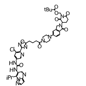 CC(C)c1c(NC(=O)Nc2cnc(-c3noc(CCCC(=O)N4CCN(c5ccc6c(c5)CN(C5CCC(=O)N(COC(=O)C(C)(C)C)C5=O)C6=O)CC4)n3)c(Cl)c2)cnc2ccnn12